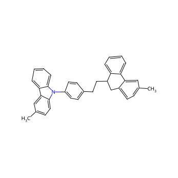 Cc1ccc2c(c1)-c1ccccc1C(CCc1ccc(-n3c4ccccc4c4cc(C)ccc43)cc1)C2